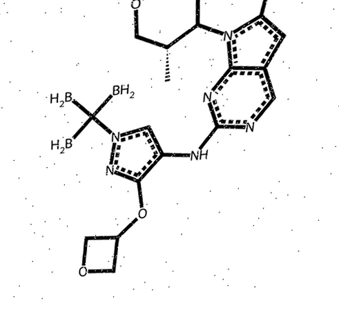 BC(B)(B)n1cc(Nc2ncc3cc(C#N)n(C4CCOC[C@H]4C)c3n2)c(OC2COC2)n1